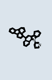 C1=CC2C(c3ccc4c5c(cccc35)-c3ccccc3-4)=Cc3c(n(-c4cccnc4)c4ccccc34)C2C=C1